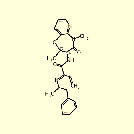 C=N/C(=N\C(C)Cc1ccccc1)C(=O)N[C@@H]1C(=O)N(C)c2ncccc2O[C@@H]1C